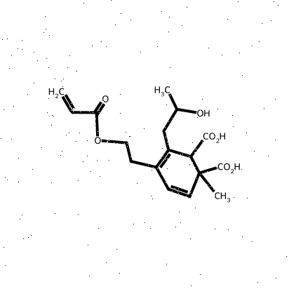 C=CC(=O)OCCC1=C(CC(C)O)C(C(=O)O)C(C)(C(=O)O)C=C1